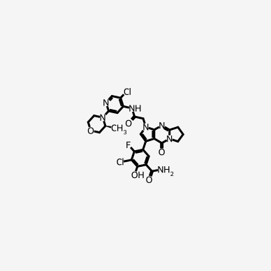 C[C@H]1COCCN1c1cc(NC(=O)Cn2cc(-c3cc(C(N)=O)c(O)c(Cl)c3F)c3c(=O)n4c(nc32)CCC4)c(Cl)cn1